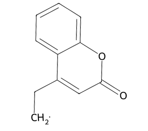 [CH2]Cc1cc(=O)oc2ccccc12